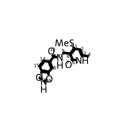 CSc1cc(C)[nH]c(=O)c1CNC(=O)c1ccc2c(c1)ONO2